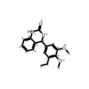 CCc1cc(C2OC(=O)Nc3ccccc32)cc(OC)c1OC